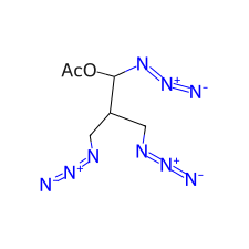 CC(=O)OC(N=[N+]=[N-])C(CN=[N+]=[N-])CN=[N+]=[N-]